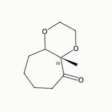 C[C@]12OCCOC1CCCCC2=O